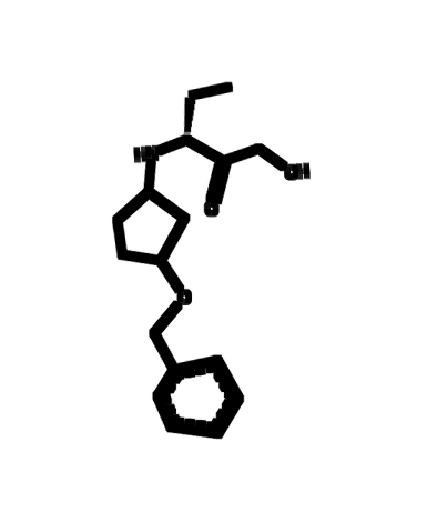 CC[C@@H](NC1CCC(OCc2ccccc2)C1)C(=O)CO